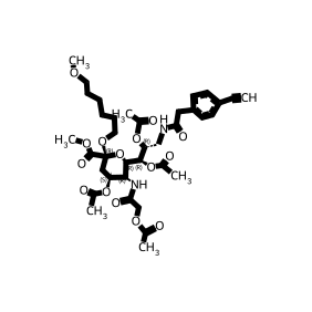 C#Cc1ccc(CC(=O)NC[C@@H](OC(C)=O)[C@@H](OC(C)=O)[C@@H]2O[C@@](OCCCCCCOC)(C(=O)OC)C[C@H](OC(C)=O)[C@H]2NC(=O)COC(C)=O)cc1